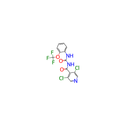 O=C(NC(=O)c1c(Cl)cncc1Cl)Nc1ccccc1OC(F)(F)F